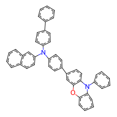 c1ccc(-c2ccc(N(c3ccc(-c4ccc5c(c4)Oc4ccccc4N5c4ccccc4)cc3)c3ccc4ccccc4c3)cc2)cc1